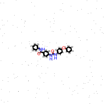 O=C(Nc1ccc(Oc2ccccc2)cc1)Nc1ccc(C(=O)Nc2ccccc2)cc1